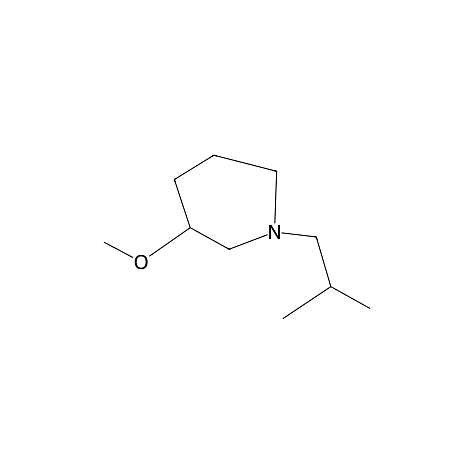 COC1CCCN(CC(C)C)C1